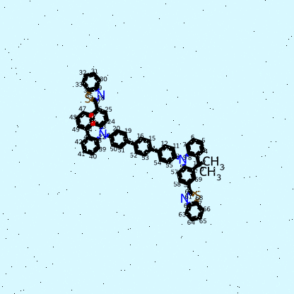 CC1(C)c2ccccc2N(c2ccc(-c3ccc(-c4ccc(N(c5ccc(-c6nc7ccccc7s6)cc5)c5ccccc5-c5ccccc5)cc4)cc3)cc2)c2ccc(-c3nc4ccccc4s3)cc21